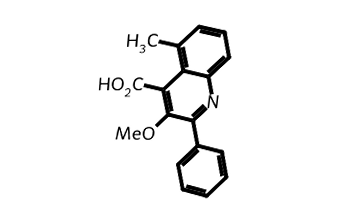 COc1c(-c2ccccc2)nc2cccc(C)c2c1C(=O)O